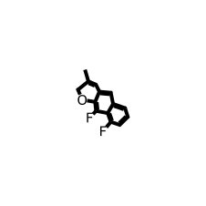 CC1=Cc2cc3cccc(F)c3c(F)c2OC1